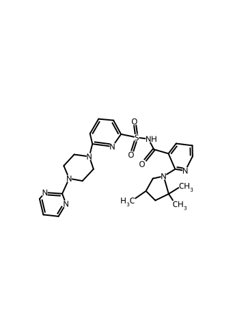 CC1CN(c2ncccc2C(=O)NS(=O)(=O)c2cccc(N3CCN(c4ncccn4)CC3)n2)C(C)(C)C1